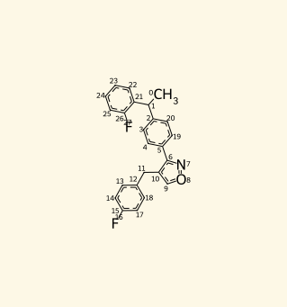 CC(c1ccc(-c2nocc2Cc2ccc(F)cc2)cc1)c1ccccc1F